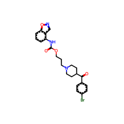 O=C(Nc1cccc2oncc12)OCCCN1CCC(C(=O)c2ccc(Br)cc2)CC1